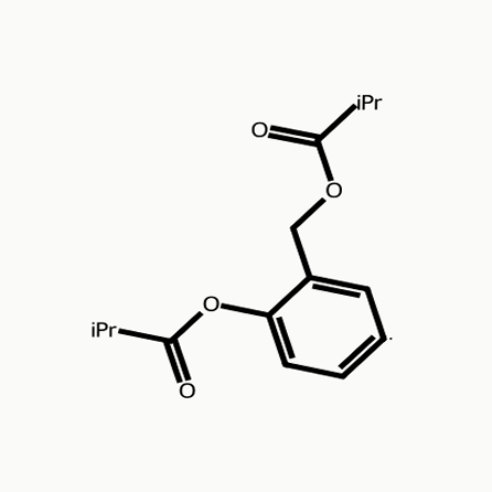 CC(C)C(=O)OCc1c[c]ccc1OC(=O)C(C)C